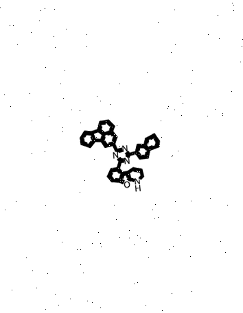 C1=Cc2c(oc3cccc(-c4nc(-c5ccc6ccccc6c5)nc(-c5cc6c7c(cccc7c5)-c5ccccc5-6)n4)c23)NC1